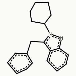 c1ccc(Cc2c3ccccc3nn2C2CCCCC2)cc1